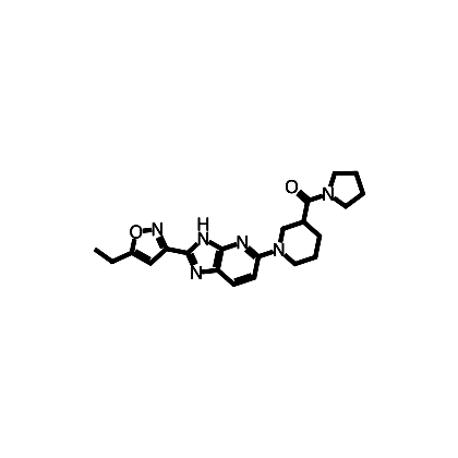 CCc1cc(-c2nc3ccc(N4CCCC(C(=O)N5CCCC5)C4)nc3[nH]2)no1